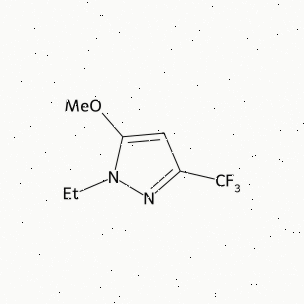 CCn1nc(C(F)(F)F)cc1OC